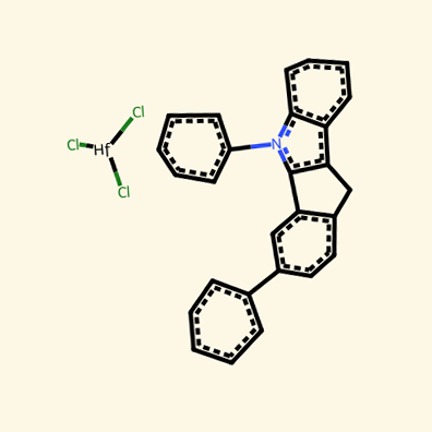 [Cl][Hf]([Cl])[Cl].c1ccc(-c2ccc3c(c2)-c2c(c4ccccc4n2-c2ccccc2)C3)cc1